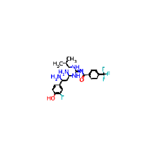 CC(C)CN/C(=N/C(=O)c1ccc(C(F)(F)F)cc1)NC(N)CC(N)c1ccc(O)c(F)c1